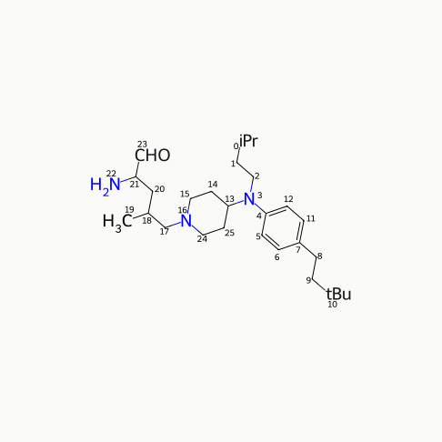 CC(C)CCN(c1ccc(CCC(C)(C)C)cc1)C1CCN(CC(C)CC(N)C=O)CC1